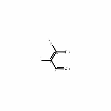 CC([C]=O)=C(F)F